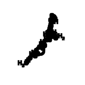 CC(C)[C@H](NC(=O)OOOOOOOOCCNC(=O)CCN1C(=O)C=CC1=O)C(=O)N[C@@H](CCCNC(N)=O)C(=O)Nc1ccc(C2=CN3C(=O)c4cc5c(cc4N=C[C@@H]3C2)OCCCOc2cc3c(cc2OCCCCCCCCO5)C(=O)N2C=C(c4ccc(N5CCN(C)CC5)cc4)C[C@H]2C=N3)cc1